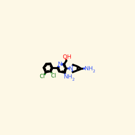 Nc1cc(-c2cccc(Cl)c2Cl)nc(CO)c1N1CC2C(N)C2C1